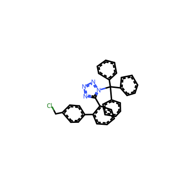 ClCc1ccc(-c2ccccc2-c2nnnn2C(c2ccccc2)(c2ccccc2)c2ccccc2)cc1